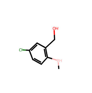 CBc1ccc(Cl)cc1CO